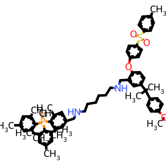 COc1ccc(C(C)(C)c2ccc(Oc3ccc(S(=O)(=O)c4ccc(C)cc4)cc3)c(CNCCCCCCNCc3cc(C)c([PH](C)(c4c(C)cc(C)cc4C)c4c(C)cc(C)cc4C)c(C)c3)c2)cc1